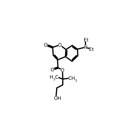 CCN(CC)c1ccc2c(C(=O)OC(C)(C)CCO)cc(=O)oc2c1